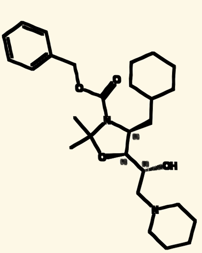 CC1(C)O[C@H]([C@H](O)CN2CCCCC2)[C@H](CC2CCCCC2)N1C(=O)OCc1ccccc1